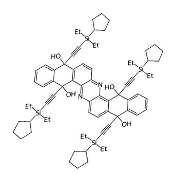 CC[Si](C#CC1(O)c2ccccc2C(O)(C#C[Si](CC)(CC)C2CCCC2)c2c1ccc1nc3c4c(ccc3nc21)C(O)(C#C[Si](CC)(CC)C1CCCC1)c1ccccc1C4(O)C#C[Si](CC)(CC)C1CCCC1)(CC)C1CCCC1